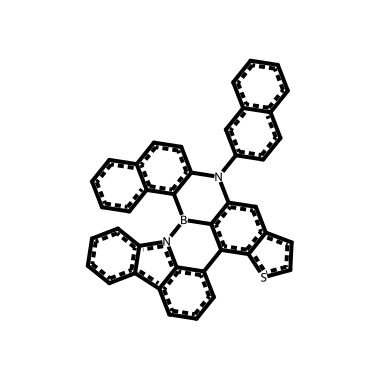 c1ccc2cc(N3c4cc5ccsc5c5c4B(c4c3ccc3ccccc43)n3c4ccccc4c4cccc-5c43)ccc2c1